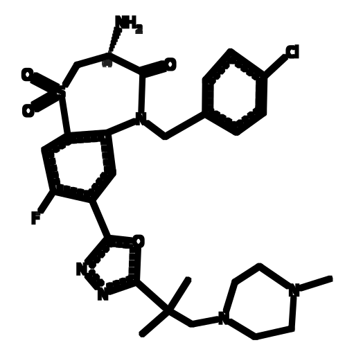 CN1CCN(CC(C)(C)c2nnc(-c3cc4c(cc3F)S(=O)(=O)C[C@H](N)C(=O)N4Cc3ccc(Cl)cc3)o2)CC1